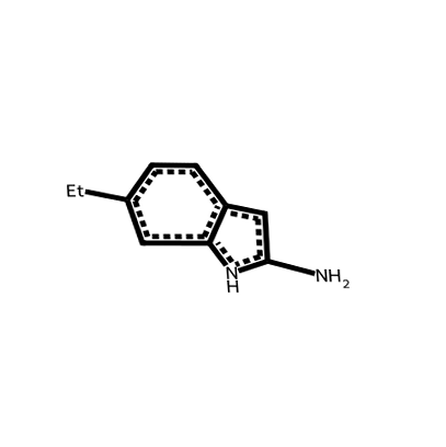 CCc1ccc2cc(N)[nH]c2c1